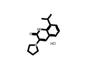 CC(C)c1cccc2cc(N3CCCC3)c(=O)[nH]c12.Cl